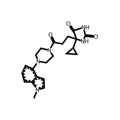 Cn1ccc2c(N3CCN(C(=O)CCC4(C5CC5)NC(=O)NC4=O)CC3)cccc21